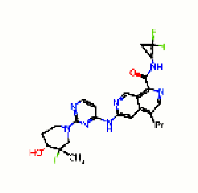 CC(C)c1cnc(C(=O)N[C@H]2CC2(F)F)c2cnc(Nc3ccnc(N4CC[C@@H](O)[C@@](C)(F)C4)n3)cc12